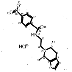 C[C@@H]1Cc2ccsc2[C@@H](C)N1CCNC(=O)c1ccc([N+](=O)[O-])cc1.Cl